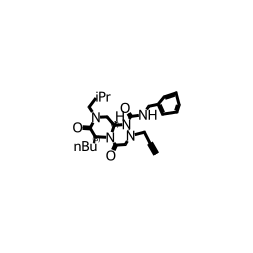 C#CCN1CC(=O)N2[C@@H](CCCC)C(=O)N(CC(C)C)C[C@@H]2N1C(=O)NCc1ccccc1